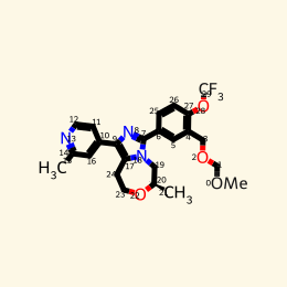 COCOCc1cc(-c2nc(-c3ccnc(C)c3)c3n2C[C@@H](C)OCC3)ccc1OC(F)(F)F